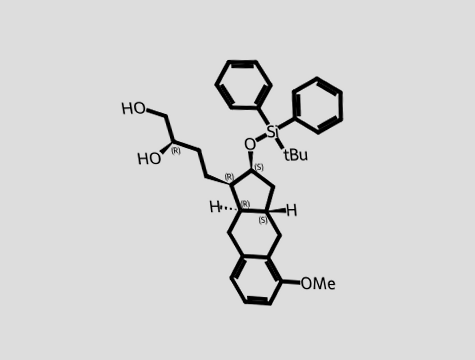 COc1cccc2c1C[C@H]1C[C@H](O[Si](c3ccccc3)(c3ccccc3)C(C)(C)C)[C@H](CC[C@@H](O)CO)[C@@H]1C2